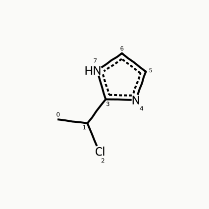 CC(Cl)c1ncc[nH]1